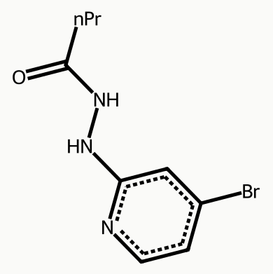 CCCC(=O)NNc1cc(Br)ccn1